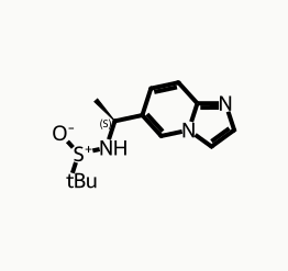 C[C@H](N[S+]([O-])C(C)(C)C)c1ccc2nccn2c1